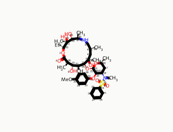 CC[C@H]1OC(=O)[C@H](C)[C@@H](O)[C@H](C)[C@@H](O[C@@H]2O[C@H](C)C[C@H](N(C)S(=O)(=O)c3ccccc3)[C@H]2Oc2ccc(OC)cc2)[C@](C)(O)C[C@@H](C)CN[C@H](C)[C@@H](O)[C@]1(C)O